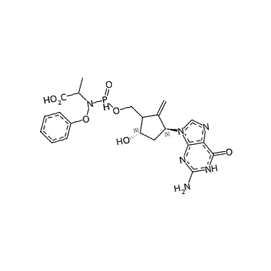 C=C1C(CO[PH](=O)N(Oc2ccccc2)C(C)C(=O)O)[C@@H](O)C[C@@H]1n1cnc2c(=O)[nH]c(N)nc21